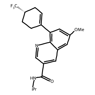 COc1cc(C2=CC[C@@H](C(F)(F)F)CC2)c2ncc(C(=O)NC(C)C)cc2c1